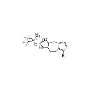 CC(C)(C)OC(=O)NC1CCc2c(Br)cccc2CC1=O